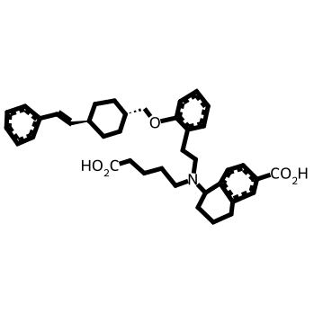 O=C(O)CCCCN(CCc1ccccc1OC[C@H]1CC[C@H](/C=C/c2ccccc2)CC1)C1CCCc2cc(C(=O)O)ccc21